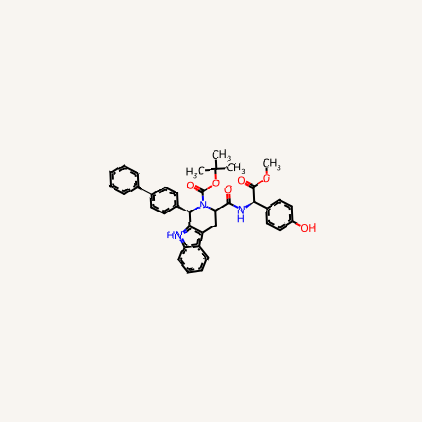 COC(=O)[C@H](NC(=O)C1Cc2c([nH]c3ccccc23)[C@@H](c2ccc(-c3ccccc3)cc2)N1C(=O)OC(C)(C)C)c1ccc(O)cc1